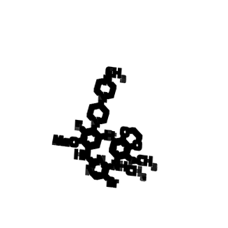 CCc1cc(Nc2ncc(Br)c(Nc3ccc4c(c3P(C)C)OCCO4)n2)c(OC)c(F)c1N1CCC(N2CCN(C)CC2)CC1